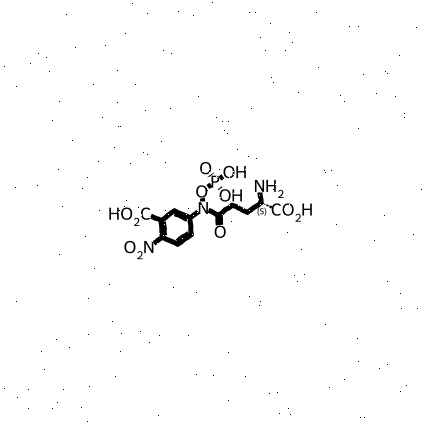 N[C@@H](CCC(=O)N(OP(=O)(O)O)c1ccc([N+](=O)[O-])c(C(=O)O)c1)C(=O)O